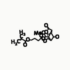 C=C(C)C(=O)OCCCC(=O)OC1C2OC(=O)C3C2C(=O)C1C3C(=O)OC